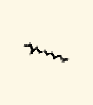 CNC(=O)OCCCCCCOC